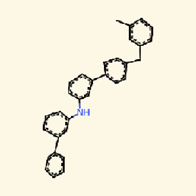 Cc1cccc(Cc2ccc(-c3cccc(Nc4cccc(-c5ccccc5)c4)c3)cc2)c1